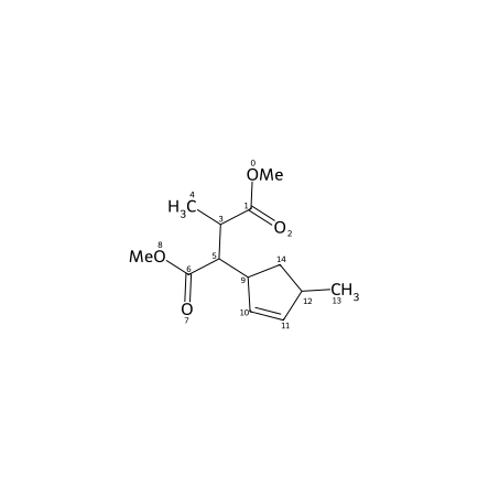 COC(=O)C(C)C(C(=O)OC)C1C=CC(C)C1